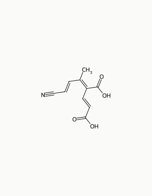 CC(C=CC#N)=C(C=CC(=O)O)C(=O)O